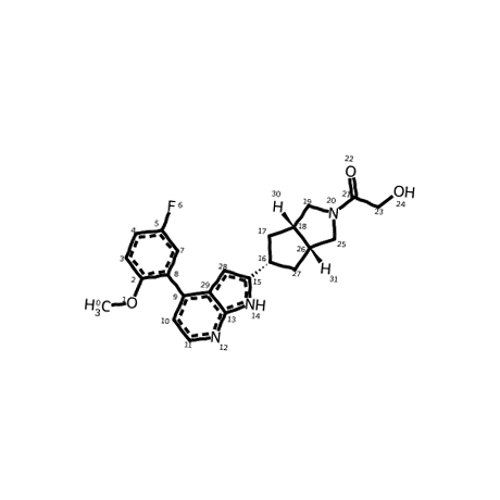 COc1ccc(F)cc1-c1ccnc2[nH]c([C@@H]3C[C@@H]4CN(C(=O)CO)C[C@@H]4C3)cc12